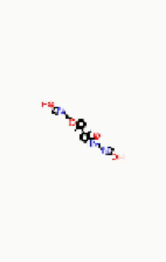 Cc1c(OCCCN2CCC(O)C2)cccc1-c1cccc(C(=O)NCCN2CCC(O)C2)c1C